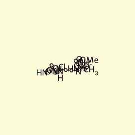 COC(=O)N[C@H](C(=O)N1C[C@@H]([S+](C)[O-])C[C@H]1c1ncc(-c2ccc(-c3ccc(-c4[nH]c([C@@H]5CCCN5C(=O)[C@@H](COOC=N)c5ccccc5)nc4Cl)cc3)cc2)[nH]1)c1ccccc1